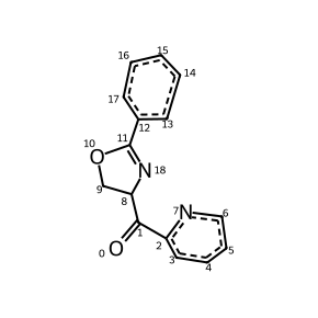 O=C(c1ccccn1)C1COC(c2ccccc2)=N1